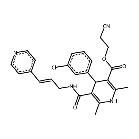 CC1=C(C(=O)NCC=Cc2ccncc2)C(c2cccc(Cl)c2)C(C(=O)OCCC#N)=C(C)N1